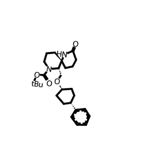 CC(C)(C)OC(=O)N1CCC[C@@]2(CCCC(=O)N2)[C@@H]1CO[C@H]1CC[C@@H](c2ccccc2)CC1